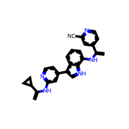 C=C(Nc1cccc2c(-c3ccnc(NC(=C)C4CC4)c3)c[nH]c12)c1ccnc(C#N)c1